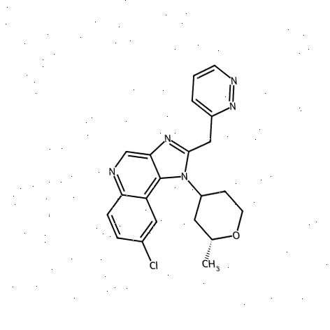 C[C@@H]1CC(n2c(Cc3cccnn3)nc3cnc4ccc(Cl)cc4c32)CCO1